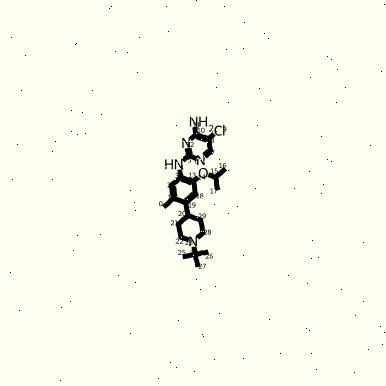 Cc1cc(Nc2ncc(Cl)c(N)n2)c(OC(C)C)cc1C1CCN(C(C)(C)C)CC1